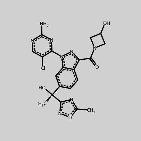 Cc1nc([C@](C)(O)c2ccc3c(C(=O)N4CC(O)C4)nn(-c4nc(N)ncc4Cl)c3c2)no1